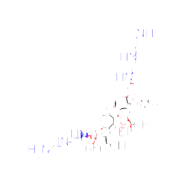 CCC/C(C)=C(\C)CC1=C(O)c2c(oc3c(c2=O)=C(C/C=C(\C)CC)C(OC)=C(OCC(=O)NCCCNCCCCN)CC=3)CCC1OCC(=O)NCCCNCCCN